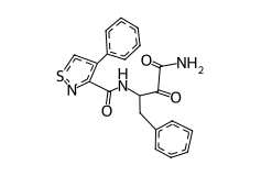 NC(=O)C(=O)C(Cc1ccccc1)NC(=O)c1nscc1-c1ccccc1